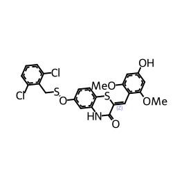 COc1cc(O)cc(OC)c1/C=C1\Sc2ccc(OSCc3c(Cl)cccc3Cl)cc2NC1=O